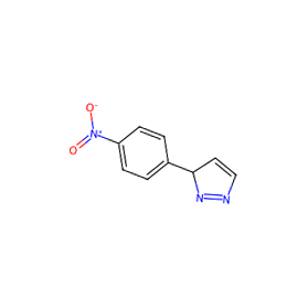 O=[N+]([O-])c1ccc(C2C=CN=N2)cc1